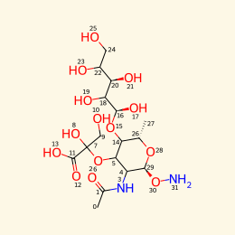 CC(=O)NC1C(OC(O)(CO)C(=O)O)C(O[C@H](O)C(O)[C@H](O)C(O)CO)[C@H](C)O[C@H]1ON